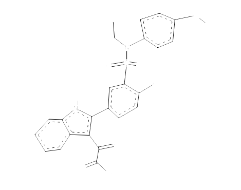 CCN(c1ccc(OC)cc1)S(=O)(=O)c1cc(-c2[nH]c3ccccc3c2C(=O)C(=O)O)ccc1Cl